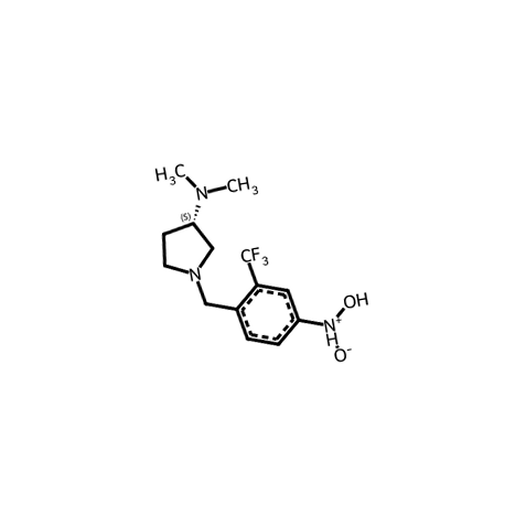 CN(C)[C@H]1CCN(Cc2ccc([NH+]([O-])O)cc2C(F)(F)F)C1